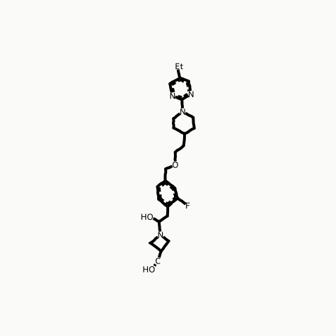 CCc1cnc(N2CCC(CCOCc3ccc(CC(O)N4CC(CO)C4)c(F)c3)CC2)nc1